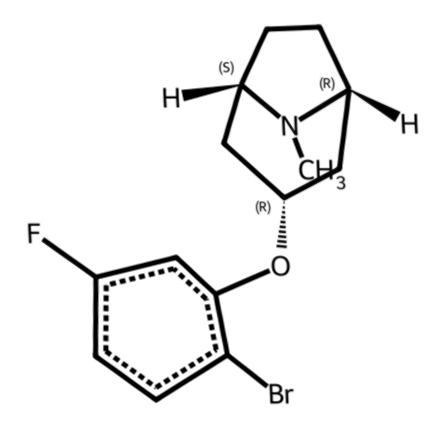 CN1[C@@H]2CC[C@H]1C[C@@H](Oc1cc(F)ccc1Br)C2